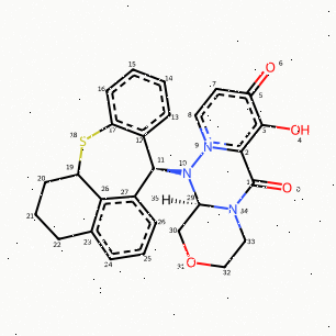 O=C1c2c(O)c(=O)ccn2N([C@@H]2c3ccccc3SC3CCCc4cccc2c43)[C@@H]2COCCN12